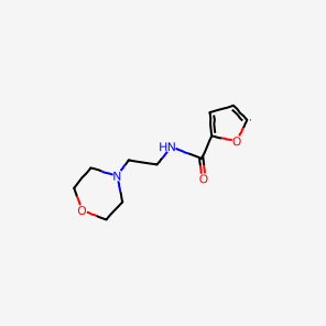 O=C(NCCN1CCOCC1)c1cc[c]o1